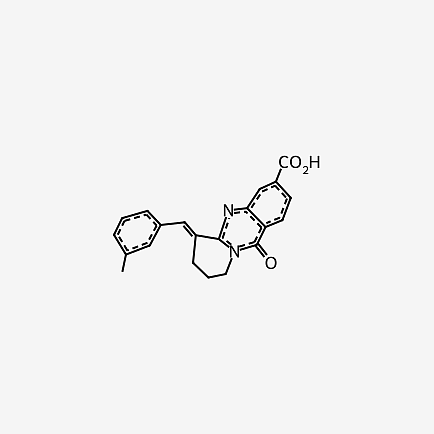 Cc1cccc(C=C2CCCn3c2nc2cc(C(=O)O)ccc2c3=O)c1